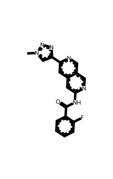 Cn1cc(-c2cc3cc(NC(=O)c4ccccc4F)ncc3cn2)nn1